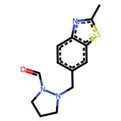 Cc1nc2ccc(CN3CCCN3C=O)cc2s1